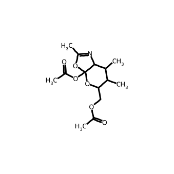 CC(=O)OCC1OC2(OC(C)=O)OC(C)=NC2C(C)C1C